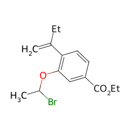 C=C(CC)c1ccc(C(=O)OCC)cc1OC(C)Br